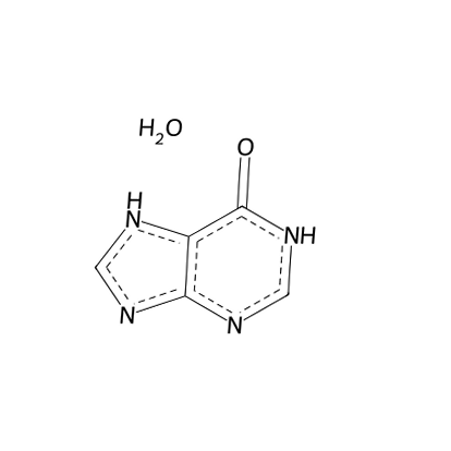 O.O=c1[nH]cnc2nc[nH]c12